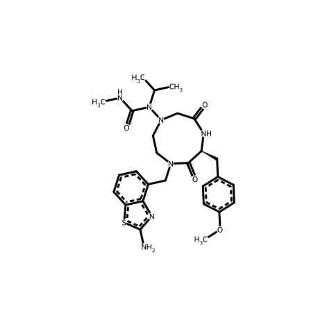 CNC(=O)N(C(C)C)N1CCN(Cc2cccc3sc(N)nc23)C(=O)[C@H](Cc2ccc(OC)cc2)NC(=O)C1